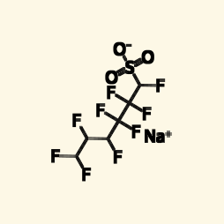 O=S(=O)([O-])C(F)C(F)(F)C(F)(F)C(F)C(F)C(F)F.[Na+]